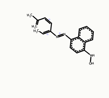 C=C(C)\C=C/C(=C\C)/N=N/c1ccc(NO)c2ccccc12